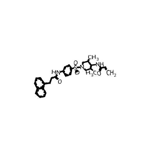 C=CC(=O)NC1C(C)CN(S(=O)(=O)c2ccc(NC(=O)CCc3cccc4ccccc34)cc2)CC1C